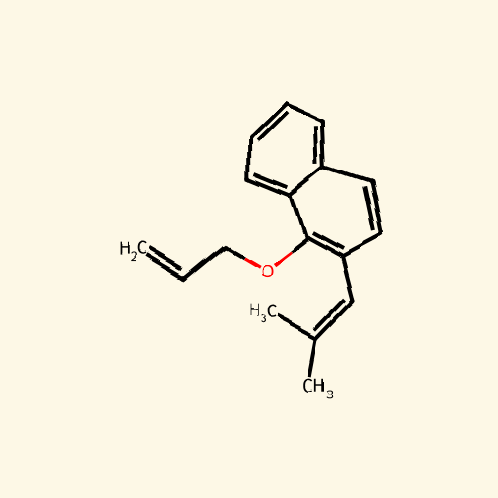 C=CCOc1c(C=C(C)C)ccc2ccccc12